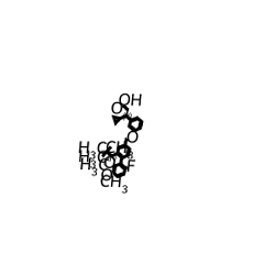 COc1ccc(F)c(-c2ccc(COc3cccc([C@H](CC(=O)O)C4CC4)c3)cc2[C@H](OC)C(C)(C)C)c1